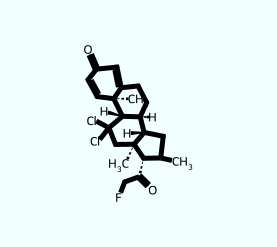 CC1C[C@H]2[C@@H]3CCC4=CC(=O)C=C[C@]4(C)[C@H]3C(Cl)(Cl)C[C@]2(C)[C@H]1C(=O)CF